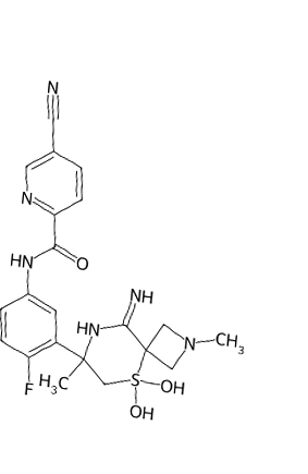 CN1CC2(C1)C(=N)NC(C)(c1cc(NC(=O)c3ccc(C#N)cn3)ccc1F)CS2(O)O